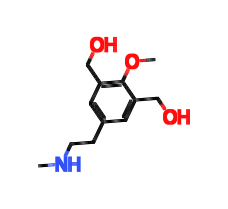 CNCCc1cc(CO)c(OC)c(CO)c1